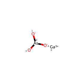 [Ga+3].[O-][As]([O-])[O-]